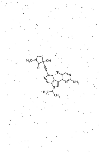 CC(C)n1cc(-c2nc(N)ncc2F)c2cc(C#CC3(O)CCN(C)C3=O)ncc21